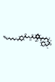 COc1c(CC(=O)NCCC(=O)N2CCC(COCCCCN=[N+]=[N-])CC2)cccc1/C(C)=C/C=C/[C@@H](C)C[C@@]1(C)O[C@@H]1[C@H](C)[C@@H]1CCCCO1